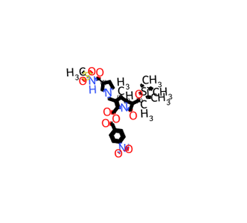 CC[Si](CC)(CC)O[C@H](C)C1C(=O)N2C(C(=O)OC(=O)c3ccc([N+](=O)[O-])cc3)=C(CN3CC[C@H](C(=O)NS(C)(=O)=O)C3)[C@H](C)[C@H]12